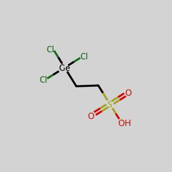 O=S(=O)(O)C[CH2][Ge]([Cl])([Cl])[Cl]